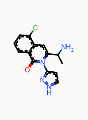 CC(N)c1cc2c(Cl)cccc2c(=O)n1-c1cc[nH]n1